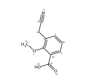 COc1c(CC#N)cccc1C(=O)O